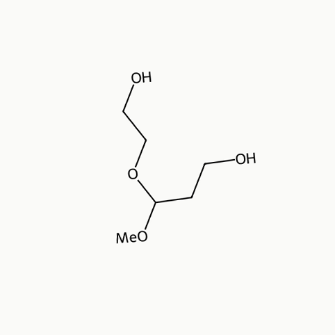 COC(CCO)OCCO